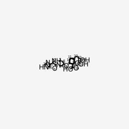 NC(C(=O)N1CC[C@H](Oc2ccc3c(c2C(=O)O)O[B-](O)(O)CC3)C1)c1c[nH]cn1